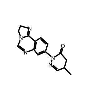 CC1C=NN(c2ccc3c(c2)N=CN2CCN=C32)C(=O)C1